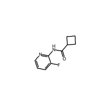 O=C(Nc1ncccc1F)C1CCC1